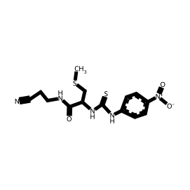 CSCC(NC(=S)Nc1ccc([N+](=O)[O-])cc1)C(=O)NCCC#N